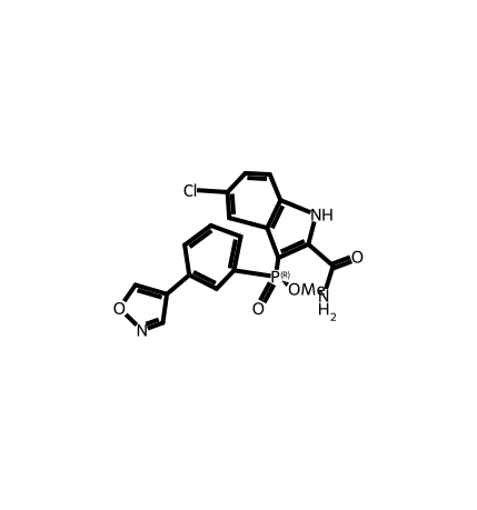 CO[P@](=O)(c1cccc(-c2cnoc2)c1)c1c(C(N)=O)[nH]c2ccc(Cl)cc12